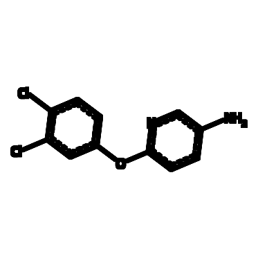 Nc1ccc(Oc2ccc(Cl)c(Cl)c2)nc1